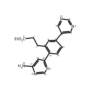 CCOC(=O)CCc1cc(-c2cncnc2)ccc1-c1cc(N)ncn1